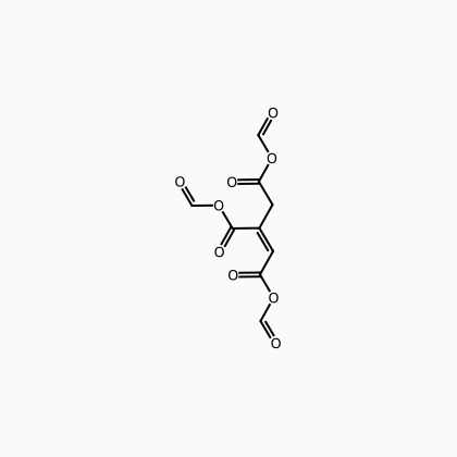 O=COC(=O)C=C(CC(=O)OC=O)C(=O)OC=O